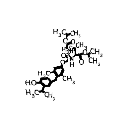 Cc1cc(OCP(=O)(NCC(=O)OC(C)C)N[C@H](C(=O)OC(C)C)C(C)C)cc(C)c1Cc1ccc(O)c(C(C)C)c1